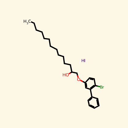 CCCCCCCCCCCCC(O)COc1ccc(Br)c(-c2ccccc2)c1.I